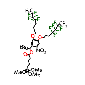 CO[Si](CCCCC(=O)OC(c1cc(OCCCC(F)(F)C(F)(F)C(F)(F)C(F)(F)F)c(OCCCC(F)(F)C(F)(F)C(F)(F)C(F)(F)F)cc1[N+](=O)[O-])C(C)(C)C)(OC)OC